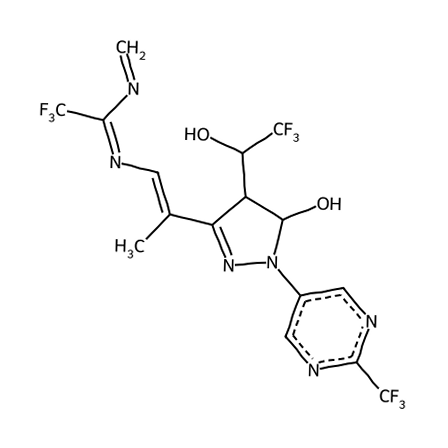 C=N/C(=N\C=C(/C)C1=NN(c2cnc(C(F)(F)F)nc2)C(O)C1C(O)C(F)(F)F)C(F)(F)F